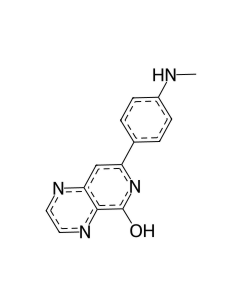 CNc1ccc(-c2cc3nccnc3c(O)n2)cc1